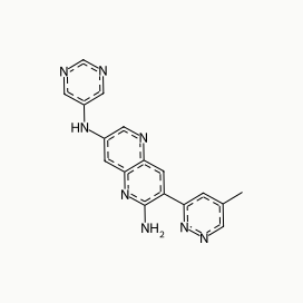 Cc1cnnc(-c2cc3ncc(Nc4cncnc4)cc3nc2N)c1